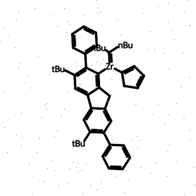 CCCC[C](CCCC)=[Zr]([C]1=CC=CC1)[c]1c2c(cc(C(C)(C)C)c1-c1ccccc1)-c1cc(C(C)(C)C)c(-c3ccccc3)cc1C2